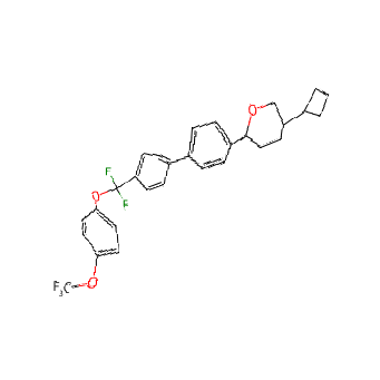 FC(F)(F)Oc1ccc(OC(F)(F)c2ccc(-c3ccc(C4CCC(C5CCC5)CO4)cc3)cc2)cc1